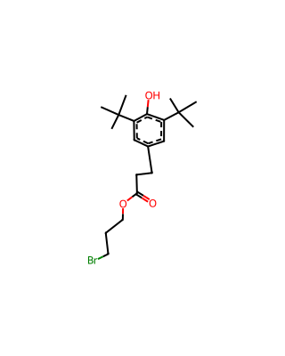 CC(C)(C)c1cc(CCC(=O)OCCCBr)cc(C(C)(C)C)c1O